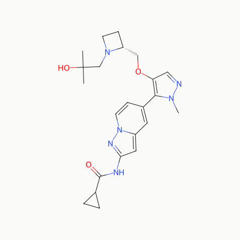 Cn1ncc(OC[C@H]2CCN2CC(C)(C)O)c1-c1ccn2nc(NC(=O)C3CC3)cc2c1